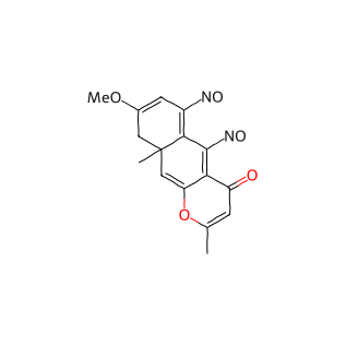 COC1=CC(N=O)=C2C(N=O)=c3c(=O)cc(C)oc3=CC2(C)C1